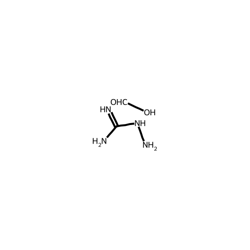 N=C(N)NN.O=CO